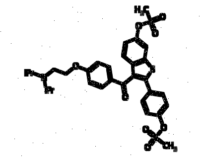 CC(C)N(CCOc1ccc(C(=O)c2c(-c3ccc(OS(C)(=O)=O)cc3)sc3cc(OS(C)(=O)=O)ccc23)cc1)C(C)C